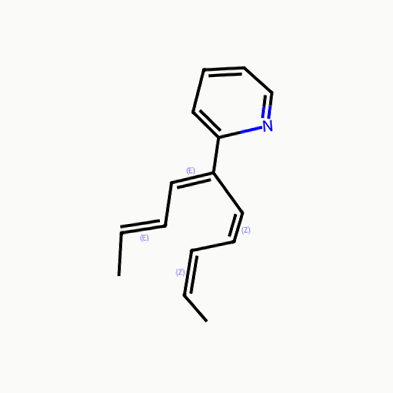 C\C=C/C=C\C(=C/C=C/C)c1ccccn1